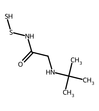 CC(C)(C)NCC(=O)NSS